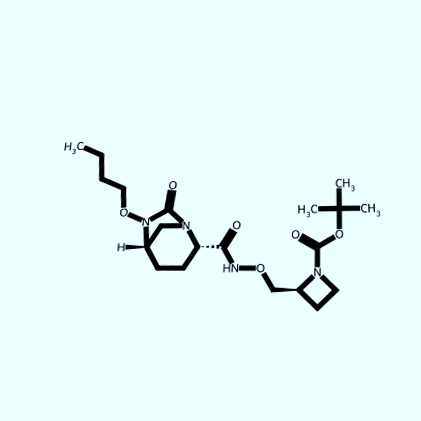 CCCCON1C(=O)N2C[C@@H]1CC[C@H]2C(=O)NOC[C@@H]1CCN1C(=O)OC(C)(C)C